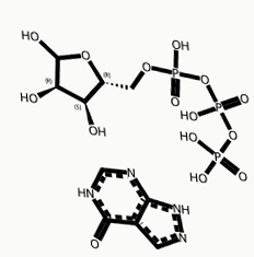 O=P(O)(O)OP(=O)(O)OP(=O)(O)OC[C@H]1OC(O)[C@H](O)[C@@H]1O.O=c1[nH]cnc2[nH]ncc12